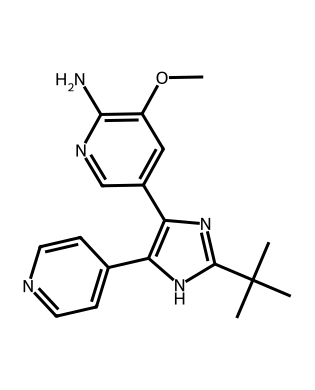 COc1cc(-c2nc(C(C)(C)C)[nH]c2-c2ccncc2)cnc1N